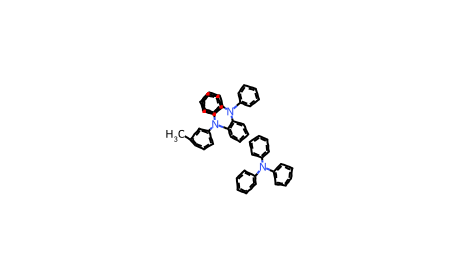 Cc1cccc(N(c2ccccc2)c2ccccc2N(c2ccccc2)c2ccccc2)c1.c1ccc(N(c2ccccc2)c2ccccc2)cc1